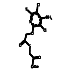 COC(=O)CSC(=O)COc1nc(F)c(Cl)c(N)c1Cl